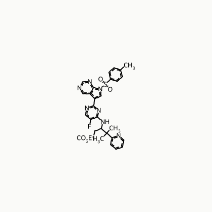 CCOC(=O)CC(Nc1nc(-c2cn(S(=O)(=O)c3ccc(C)cc3)c3ncncc23)ncc1F)C(C)(C)c1ccccn1